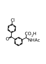 CC(=O)NC(C(=O)O)c1cccc(C(=O)c2ccc(Cl)cc2)c1